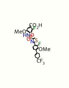 COc1cc(C(=O)O)c(F)cc1NS(=O)(=O)c1csc(-c2ccc(C3=CCC(C(F)(F)F)CC3)c(OC)c2F)n1